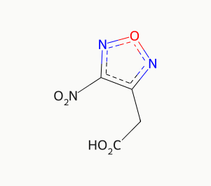 O=C(O)Cc1nonc1[N+](=O)[O-]